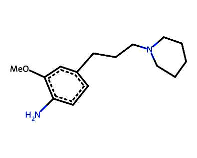 COc1cc(CCCN2CCCCC2)ccc1N